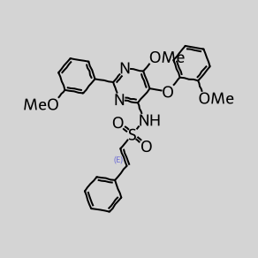 COc1cccc(-c2nc(NS(=O)(=O)/C=C/c3ccccc3)c(Oc3ccccc3OC)c(OC)n2)c1